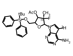 [3H]c1cn(C2OC(CO[Si](c3ccccc3)(c3ccccc3)C(C)(C)C)C(OC(C)=O)[C@]2(C)F)c2ncnc(N)c12